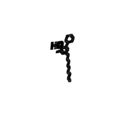 CCCCCCCCCc1cc(C)c(O)c(C2CCCCC2)c1